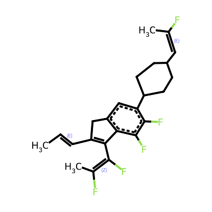 C/C=C/C1=C(C(/F)=C(\C)F)c2c(cc(C3CCC(/C=C(\C)F)CC3)c(F)c2F)C1